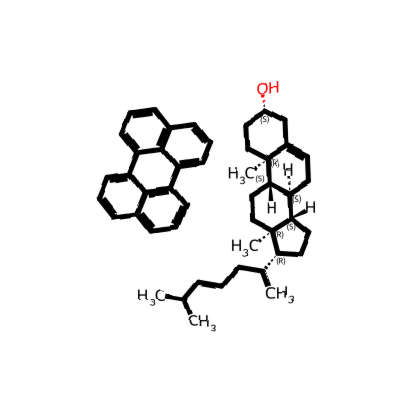 CC(C)CCCC(C)[C@H]1CC[C@H]2[C@@H]3CC=C4C[C@@H](O)CC[C@]4(C)[C@H]3CC[C@]12C.c1cc2cccc3c4cccc5cccc(c(c1)c23)c54